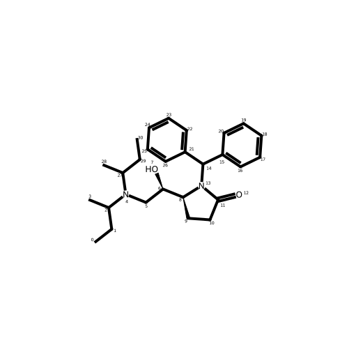 CCC(C)N(C[C@@H](O)[C@@H]1CCC(=O)N1C(c1ccccc1)c1ccccc1)C(C)CC